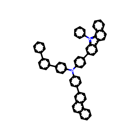 c1ccc(-c2cccc(-c3ccc(N(c4ccc(-c5ccc6c(ccc7ccccc76)c5)cc4)c4ccc(-c5ccc6c7ccc8ccccc8c7n(-c7ccccc7)c6c5)cc4)cc3)c2)cc1